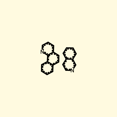 c1ccc2c(c1)ccc1cccnc12.c1ccc2cnccc2c1